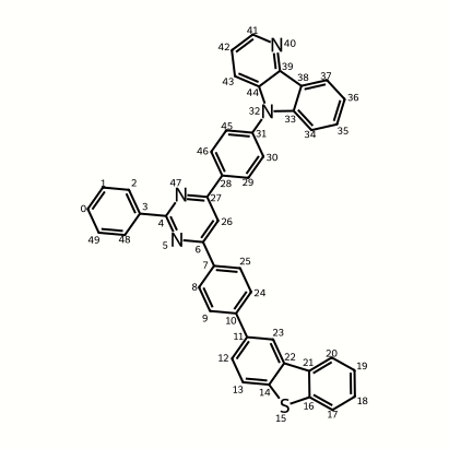 c1ccc(-c2nc(-c3ccc(-c4ccc5sc6ccccc6c5c4)cc3)cc(-c3ccc(-n4c5ccccc5c5ncccc54)cc3)n2)cc1